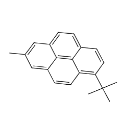 Cc1cc2ccc3ccc(C(C)(C)C)c4ccc(c1)c2c34